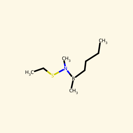 CCCCB(C)N(C)SCC